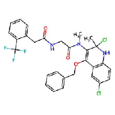 CN(C(=O)CNC(=O)Cc1ccccc1C(F)(F)F)C1=C(OCc2ccccc2)c2cc(Cl)ccc2NC1(C)Cl